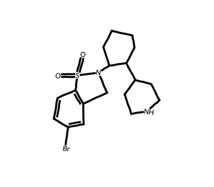 O=S1(=O)c2ccc(Br)cc2CN1C1CCCCC1C1CCNCC1